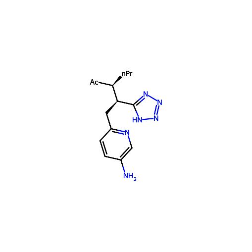 CCC[C@H](C(C)=O)[C@H](Cc1ccc(N)cn1)c1nnn[nH]1